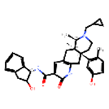 Cc1ccc(O)cc1[C@]12CCN(CC3CC3)[C@H](C)[C@@H]1Cc1cc(C(=O)N[C@H]3c4ccccc4CC3O)c(=O)[nH]c1C2